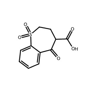 O=C(O)C1CCS(=O)(=O)c2ccccc2C1=O